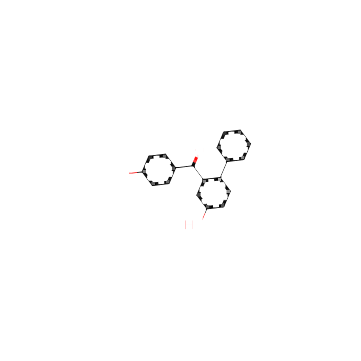 O=C(c1ccc(O)cc1)c1cc(O)ccc1-c1ccccc1